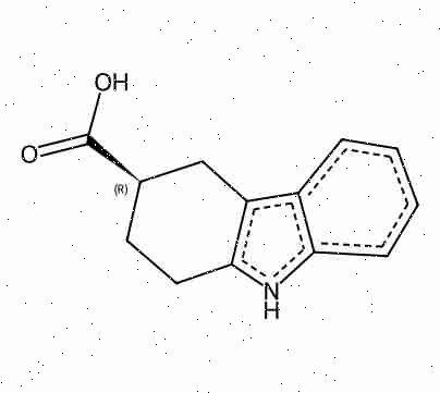 O=C(O)[C@@H]1CCc2[nH]c3ccccc3c2C1